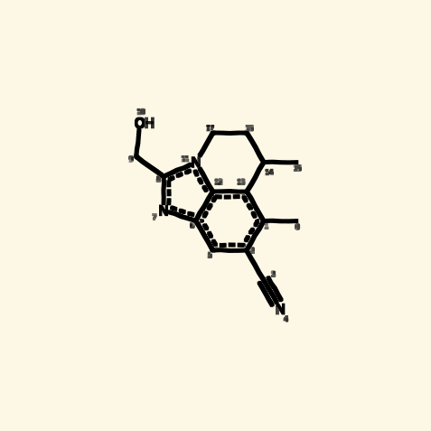 Cc1c(C#N)cc2nc(CO)n3c2c1C(C)CC3